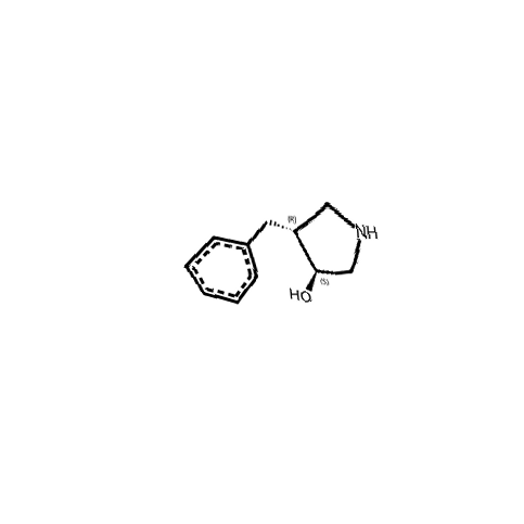 O[C@@H]1CNC[C@H]1Cc1ccccc1